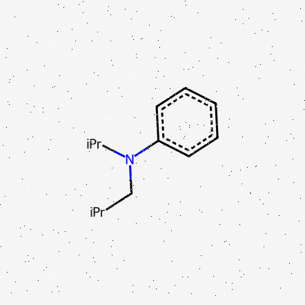 CC(C)CN(c1ccccc1)C(C)C